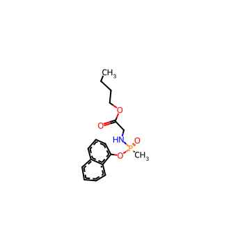 CCCCOC(=O)CNP(C)(=O)Oc1cccc2ccccc12